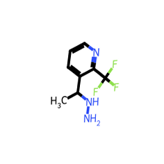 CC(NN)c1cccnc1C(F)(F)F